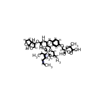 C/C=C\C=C(/CC)S(=O)(=O)N(CC(C)C)C[C@@H](O)[C@H](Cc1ccc(OCP(=O)(O)O[C@@H](C)C(=O)O)cc1)NC(=O)O[C@H]1CO[C@H]2OCC[C@H]21